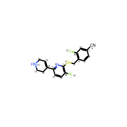 N#Cc1ccc(CSc2nc(C3=CCNCC3)ccc2F)c(F)c1